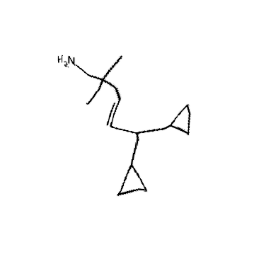 CC(C)(N)/C=C/C(C1CC1)C1CC1